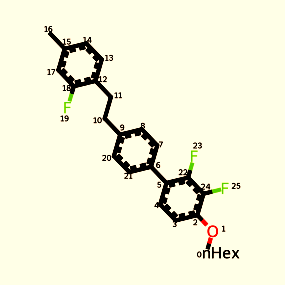 CCCCCCOc1ccc(-c2ccc(CCc3ccc(C)cc3F)cc2)c(F)c1F